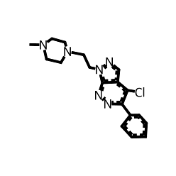 CN1CCN(CCn2ncc3c(Cl)c(-c4ccccc4)nnc32)CC1